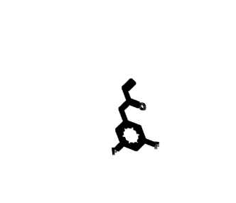 C=CC(=O)Cc1cc(F)cc(F)c1